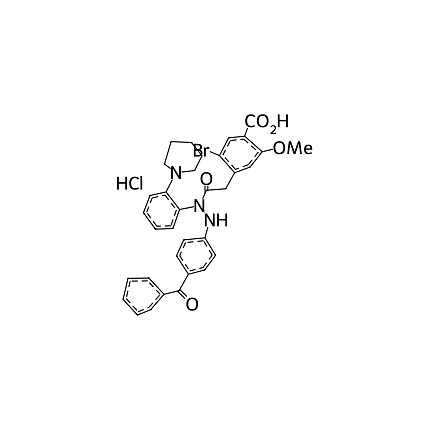 COc1cc(CC(=O)N(Nc2ccc(C(=O)c3ccccc3)cc2)c2ccccc2N2CCCCC2)c(Br)cc1C(=O)O.Cl